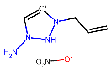 C=CCN1[C+]=CN(N)N1.O=[N+]([O-])[O-]